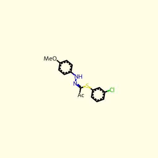 COc1ccc(NN=C(Sc2cccc(Cl)c2)C(C)=O)cc1